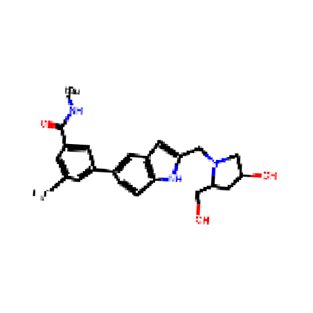 Cc1cc(C(=O)NC(C)(C)C)cc(-c2ccc3[nH]c(CN4C[C@@H](O)CC4CO)cc3c2)c1